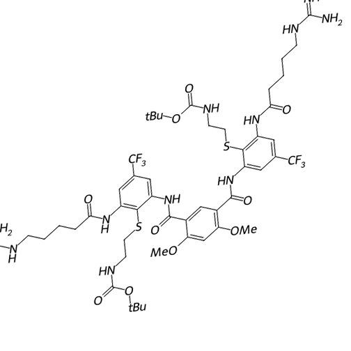 COc1cc(OC)c(C(=O)Nc2cc(C(F)(F)F)cc(NC(=O)CCCCNC(=N)N)c2SCCNC(=O)OC(C)(C)C)cc1C(=O)Nc1cc(C(F)(F)F)cc(NC(=O)CCCCNC(=N)N)c1SCCNC(=O)OC(C)(C)C